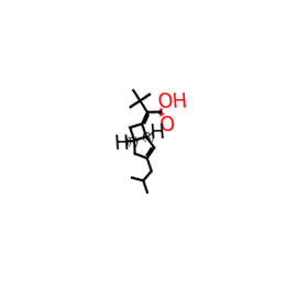 CC(C)CC1=C[C@@H]2C(=C(C(=O)O)C(C)(C)C)C[C@H]2C1